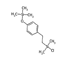 C[Si](C)(Cl)CCc1ccc(O[Si](C)(C)C)cc1